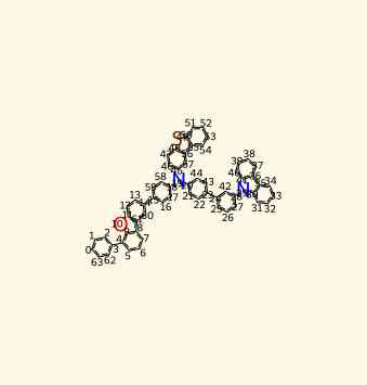 c1ccc(-c2cccc3c2oc2ccc(-c4ccc(N(c5ccc(-c6cccc(-n7c8ccccc8c8ccccc87)c6)cc5)c5ccc6sc7ccccc7c6c5)cc4)cc23)cc1